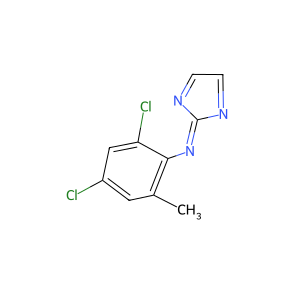 Cc1cc(Cl)cc(Cl)c1N=C1N=CC=N1